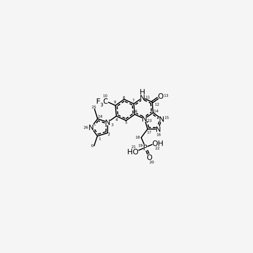 Cc1cn(-c2cc3c(cc2C(F)(F)F)[nH]c(=O)c2nnc(CP(=O)(O)O)n23)c(C)n1